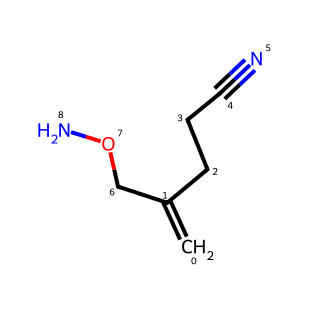 C=C(CCC#N)CON